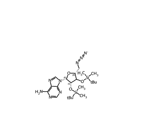 CC(C)(C)[Si](C)(C)OC1[C@@H](CN=[N+]=[N-])O[C@@H](n2cnc3c(N)ncnc32)[C@H]1O[Si](C)(C)C(C)(C)C